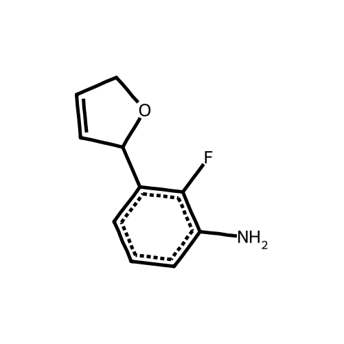 Nc1cccc(C2C=CCO2)c1F